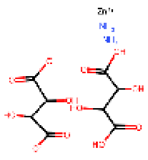 N.N.O=C(O)C(O)C(O)C(=O)O.O=C([O-])C(O)C(O)C(=O)[O-].[Zn+2]